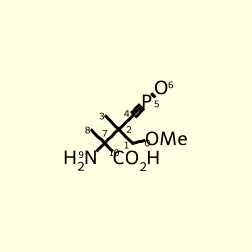 COCC(C)(C#P=O)C(C)(N)C(=O)O